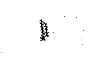 CCCCCCCCC(C)=O.CCCCCCCCCCCCC(C)=O